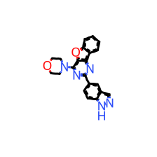 c1ccc2c(c1)oc1c(N3CCOCC3)nc(-c3ccc4[nH]ncc4c3)nc12